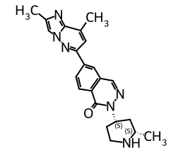 Cc1cn2nc(-c3ccc4c(=O)n([C@H]5CCN[C@@H](C)C5)ncc4c3)cc(C)c2n1